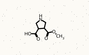 COC(=O)C1CNCC1C(=O)O